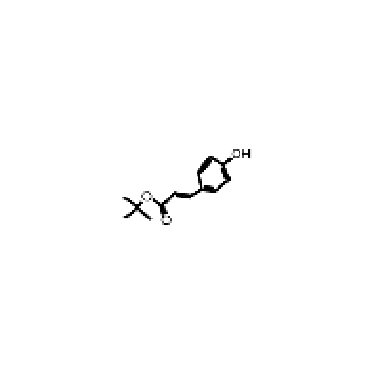 CC(C)(C)OC(=O)/C=C/c1ccc(O)cc1